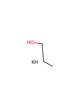 CCCO.[KH]